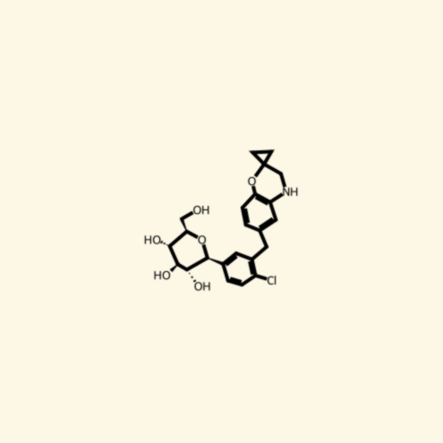 OC[C@H]1O[C@@H](c2ccc(Cl)c(Cc3ccc4c(c3)NCC3(CC3)O4)c2)[C@H](O)[C@@H](O)[C@@H]1O